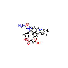 CCN(CC)CCCc1nn(CC(N)=O)c(-c2ccccc2)c1-c1ccccc1.O=C(O)/C=C/C(=O)O